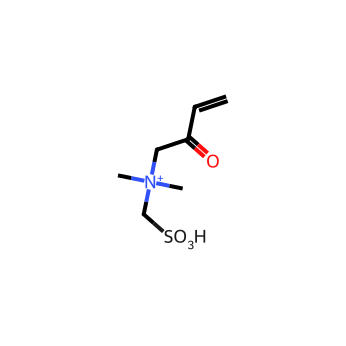 C=CC(=O)C[N+](C)(C)CS(=O)(=O)O